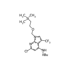 CCCCNc1cc(Cl)nc2c1c(C(F)(F)F)cn2COCC[Si](C)(C)C